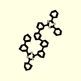 c1ccc(-c2cccc(-c3nc(-c4ccccc4)nc(-c4cccc(-c5cccc(-c6cccc(-c7cccc(-c8nc(-c9ccccc9)nc(-c9ccccc9)n8)c7)c6)c5)c4)n3)c2)cc1